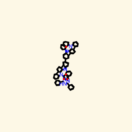 c1ccc(C2=NC(c3cccc(-n4c5ccc(-c6ccc7c(c6)c6ccc8c9ccccc9n(-c9ccccc9)c8c6n7-c6ccccc6)cc5c5ccc6c7ccccc7n(-c7ccccc7)c6c54)c3)=NC(c3ccccc3)N2)cc1